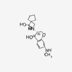 CNc1ccc2c(c1)OC[C@@H](NCC1(C(=O)O)CCCC1)[C@H]2O